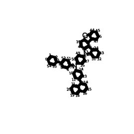 c1ccc(-c2ccc(N(c3ccc(-c4cccc5ccccc45)cc3)c3ccc(-n4c5ccccc5c5c6c(ccc54)oc4ccccc46)cc3)cc2)cc1